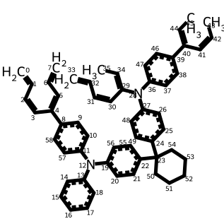 C=C/C=C\C(=C/C=C)c1ccc(N(c2ccccc2)c2ccc(C3(c4ccc(N(C(/C=C\C=C)=C/C)c5ccc(C(/C=C\C)=C/C)cc5)cc4)CCCCC3)cc2)cc1